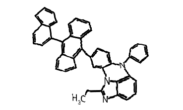 CCc1nc2cccc3c2n1-c1cc(-c2c4ccccc4c(-c4cccc5ccccc45)c4ccccc24)ccc1N3c1ccccc1